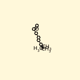 C[Si](C)(C)c1ccc(-c2ccc3cc(-c4ccc(-c5cccc6c5oc5ccccc56)cc4)ccc3c2)cc1